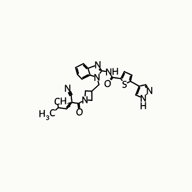 CC(C)/C=C(\C#N)C(=O)N1CC(Cn2c(NC(=O)c3ccc(-c4cn[nH]c4)s3)nc3ccccc32)C1